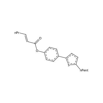 CCCC=CC(=O)Oc1ccc(-c2ccc(CCCCC)s2)cc1